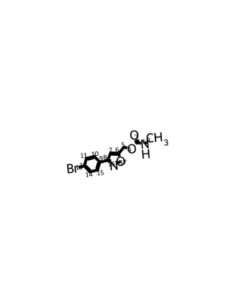 CNC(=O)OCc1cc(-c2ccc(Br)cc2)no1